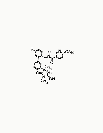 COc1ccc(C(=O)NCc2ccc(I)cc2-c2cccc(C3(C)NC(=N)N(C)C3=O)c2)cn1